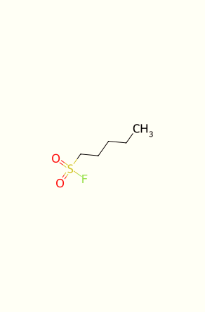 CCCCCS(=O)(=O)F